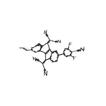 C/C=C/c1ccc2c(c1)C1=C(C2=C(C#N)C#N)c2cc(-c3cc(F)c(C#N)c(F)c3)ccc2C1=C(C#N)C#N